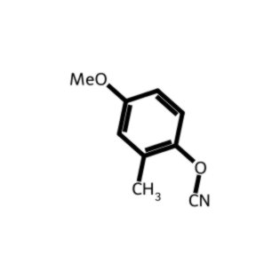 COc1ccc(OC#N)c(C)c1